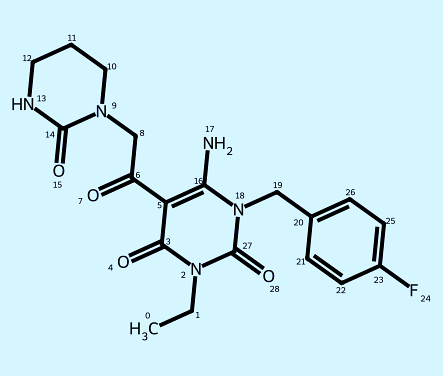 CCn1c(=O)c(C(=O)CN2CCCNC2=O)c(N)n(Cc2ccc(F)cc2)c1=O